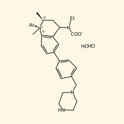 CCN(C(=O)[O-])C1C[C@H](C)[N@+](C)(C(C)=O)c2ccc(-c3ccc(CN4CCNCC4)cc3)cc21.Cl.Cl